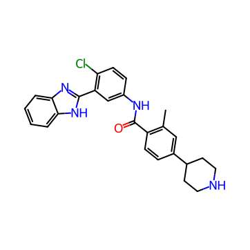 Cc1cc(C2CCNCC2)ccc1C(=O)Nc1ccc(Cl)c(-c2nc3ccccc3[nH]2)c1